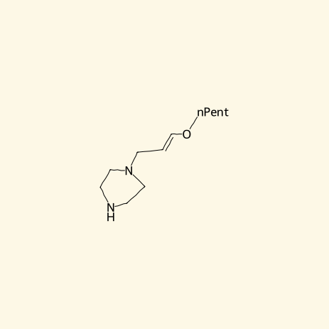 CCCCCOC=CCN1CCNCC1